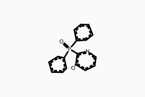 [O]c1cccnc1P(=O)(c1ccccc1)c1ccccc1